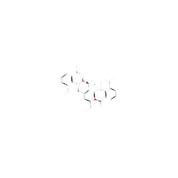 CCc1cc(C(=O)N(C(C)=O)c2c(C(C)C)cccc2C(C)C)c(C(=O)O)c(Nc2c(C(C)C)cccc2C(C)C)c1C